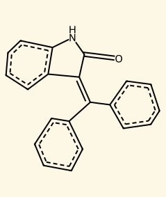 O=C1Nc2ccccc2C1=C(c1ccccc1)c1ccccc1